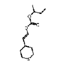 CCC(C)OC(=O)OC=CC1CCSCC1